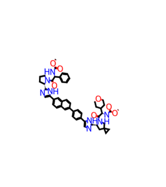 COC(=O)N[C@H](C(=O)N1CC2(CC2)C[C@H]1c1ncc(-c2ccc(-c3ccc4cc(-c5cnc([C@@H]6CCCN6C(=O)[C@H](NC(=O)OC)c6ccccc6)[nH]5)ccc4c3)cc2)[nH]1)C1CCOCC1